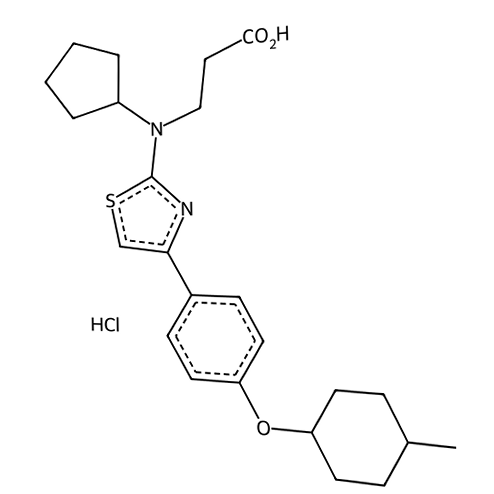 CC1CCC(Oc2ccc(-c3csc(N(CCC(=O)O)C4CCCC4)n3)cc2)CC1.Cl